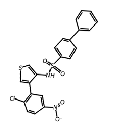 O=[N+]([O-])c1ccc(Cl)c(-c2cscc2NS(=O)(=O)c2ccc(-c3ccccc3)cc2)c1